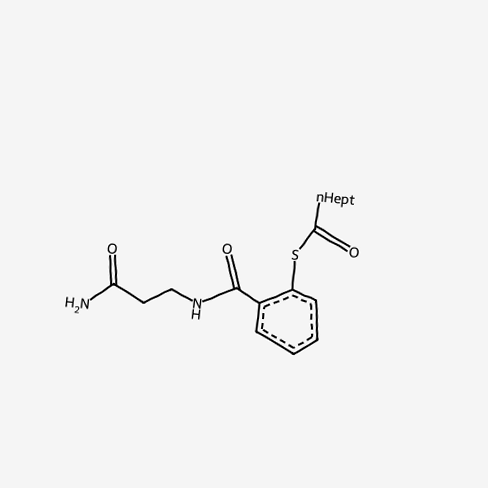 CCCCCCCC(=O)Sc1ccccc1C(=O)NCCC(N)=O